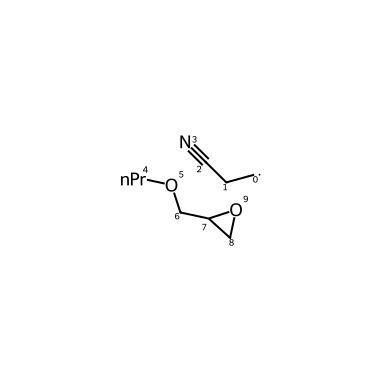 [CH2]CC#N.[CH2]CCOCC1CO1